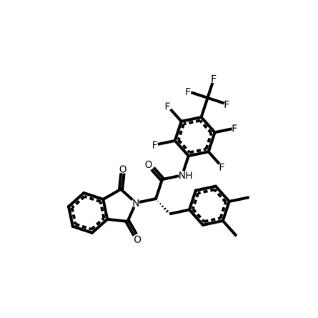 Cc1ccc(C[C@@H](C(=O)Nc2c(F)c(F)c(C(F)(F)F)c(F)c2F)N2C(=O)c3ccccc3C2=O)cc1C